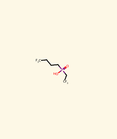 O=P(O)(CCCC(F)(F)F)CC(F)(F)F